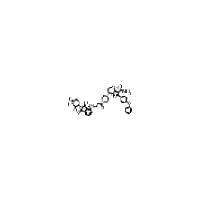 NC(=O)c1c(-c2ccc(Oc3ccccc3)cc2)nn2c1NCC[C@H]2C1CCN(C(=O)CCNc2cccc3c2C(=O)N(C2CCC(=O)NC2=O)C3=O)CC1